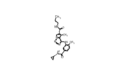 CCCNC(=O)c1cn2ncnc(Nc3cc(C(=O)NC4CC4)ccc3C)c2c1C